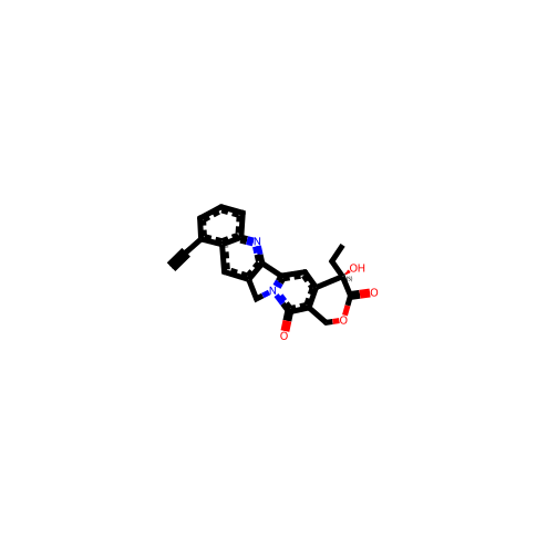 C#Cc1cccc2nc3c(cc12)Cn1c-3cc2c(c1=O)COC(=O)[C@]2(O)CC